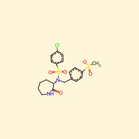 CS(=O)(=O)c1ccc(CN([C@@H]2CCCCNC2=O)S(=O)(=O)c2ccc(Cl)cc2)cc1